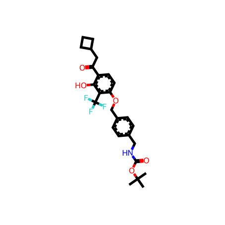 CC(C)(C)OC(=O)NCc1ccc(COc2ccc(C(=O)CC3CCC3)c(O)c2C(F)(F)F)cc1